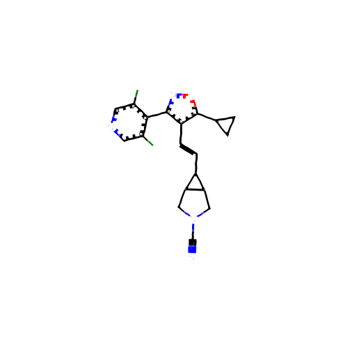 N#CN1CC2C(/C=C/c3c(-c4c(Cl)cncc4Cl)noc3C3CC3)C2C1